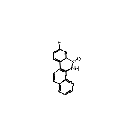 [O-][S+]1Nc2c(ccc3cccnc23)-c2ccc(F)cc21